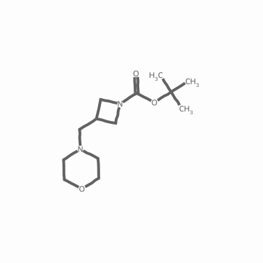 CC(C)(C)OC(=O)N1CC(CN2CCOCC2)C1